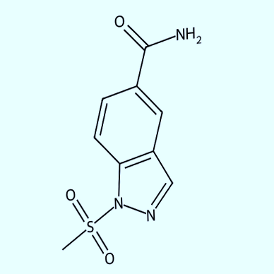 CS(=O)(=O)n1ncc2cc(C(N)=O)ccc21